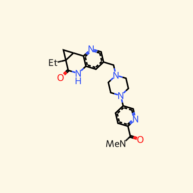 CCC12CC1c1ncc(CN3CCN(c4ccc(C(=O)NC)nc4)CC3)cc1NC2=O